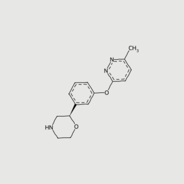 Cc1ccc(Oc2cccc([C@@H]3CNCCO3)c2)nn1